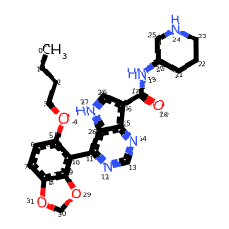 CCCCOc1ccc2c(c1-c1ncnc3c(C(=O)NC4CCCNC4)c[nH]c13)OCO2